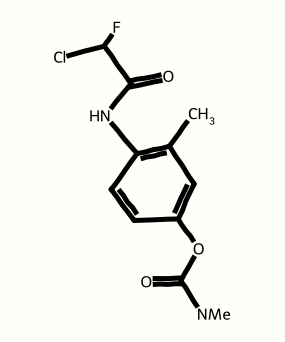 CNC(=O)Oc1ccc(NC(=O)C(F)Cl)c(C)c1